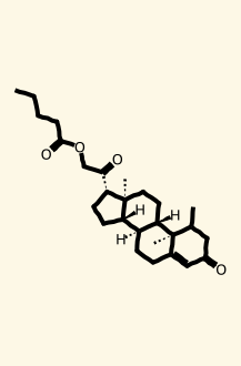 CCCCC(=O)OCC(=O)[C@H]1CC[C@H]2[C@@H]3CCC4=CC(=O)CC(C)[C@]4(C)[C@H]3CC[C@]12C